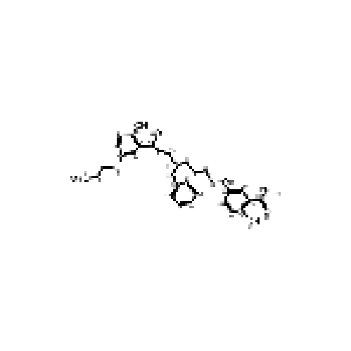 COCCOc1ccc(O)c(C(O)CCN(CCCCOc2ccc(O)c(C(N)=O)c2)Cc2ccccc2)c1